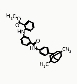 COC(=O)c1ccccc1Nc1cccc(C(=O)Nc2ccc(C34CC5CC(C)(CC(C)(C5)C3)C4)cc2)c1